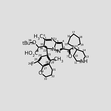 Cc1nc2cc(C(=O)[N+]3(C4CCNCC4)CCCCC3)nn2c(-c2cc(F)c3c(c2C)CCCO3)c1[C@H](OC(C)(C)C)C(=O)O